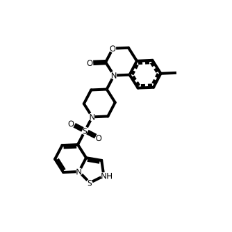 Cc1ccc2c(c1)COC(=O)N2C1CCN(S(=O)(=O)C2=CC=CN3SNC=C23)CC1